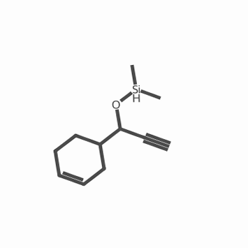 C#CC(O[SiH](C)C)C1CC=CCC1